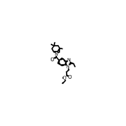 CCOC(=O)CCn1c(CC)nc2cc(C(=O)N3CC4(C)CC3CC(C)(C)C4)ccc21